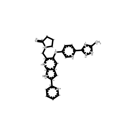 Cc1nc(-c2ccc(Oc3cc4cc(-c5ccccn5)[nH]c4nc3CN3CCCC3=O)cn2)no1